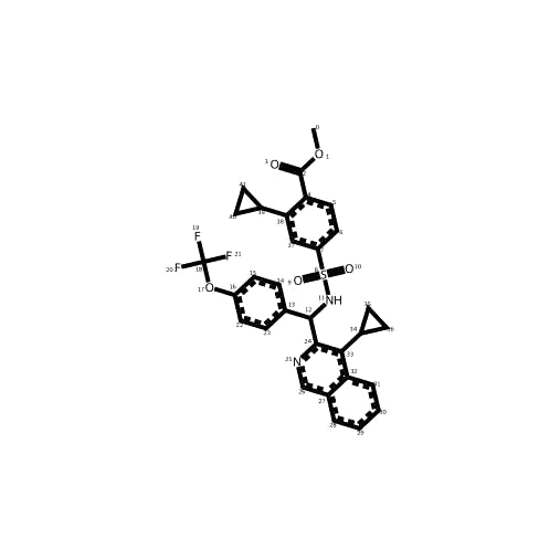 COC(=O)c1ccc(S(=O)(=O)NC(c2ccc(OC(F)(F)F)cc2)c2ncc3ccccc3c2C2CC2)cc1C1CC1